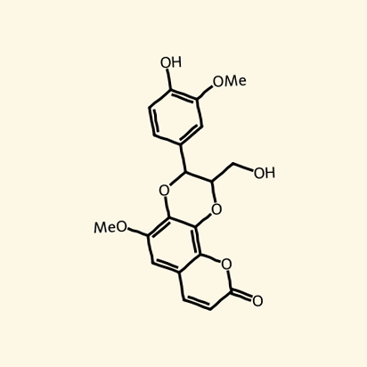 COc1cc(C2Oc3c(OC)cc4ccc(=O)oc4c3OC2CO)ccc1O